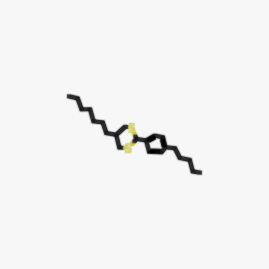 CCCCCCCC1CSC(c2ccc(CCCCC)cc2)SC1